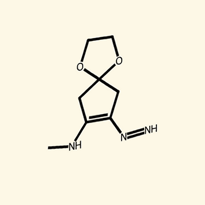 CNC1=C(N=N)CC2(C1)OCCO2